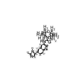 BC1(B)OC(B)(B)C(B)(B)N(C(=O)Nc2cc3cc(-c4cnc(C)n4C)ccc3nn2)C1(B)B